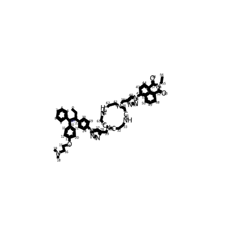 CC/C(=C(\c1ccccc1)c1ccc(OCCN(C)C)cc1)c1ccc(-n2cc(CN3CCCNCCN(Cc4cn(-c5ccc6c7c(cccc57)C(=O)N(CC)C6=O)nn4)CCCNCC3)nn2)cc1